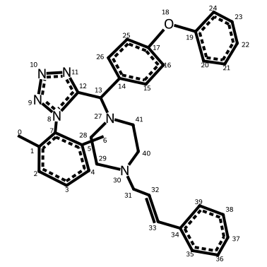 Cc1cccc(C)c1-n1nnnc1C(c1ccc(Oc2ccccc2)cc1)N1CCN(CC=Cc2ccccc2)CC1